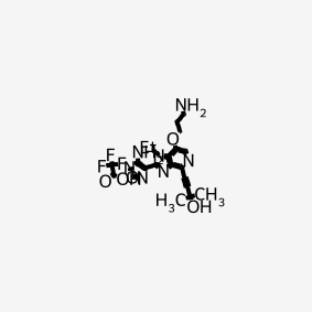 CCn1c(-c2nonc2N)nc2c(C#CC(C)(C)O)ncc(OCCCN)c21.O=C(O)C(F)(F)F